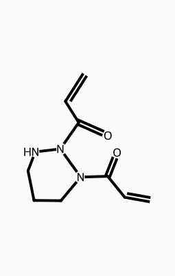 C=CC(=O)N1CCCNN1C(=O)C=C